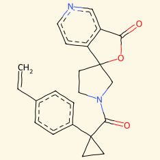 C=Cc1ccc(C2(C(=O)N3CCC4(C3)OC(=O)c3cnccc34)CC2)cc1